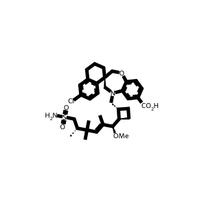 CO[C@@H](/C(C)=C/C(C)(C)[C@H](C)CS(N)(=O)=O)[C@@H]1CC[C@H]1CN1C[C@@]2(CCCc3cc(Cl)ccc32)COc2ccc(C(=O)O)cc21